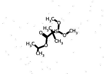 CO[SiH](OC)C(C)(C)C(=O)OC(C)C